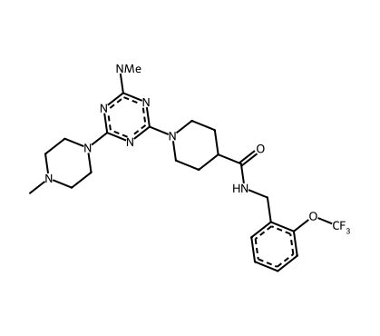 CNc1nc(N2CCC(C(=O)NCc3ccccc3OC(F)(F)F)CC2)nc(N2CCN(C)CC2)n1